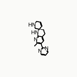 Cc1nc2c(cc1-c1ncccn1)CC[C@@]1(C=CCNC1)N2